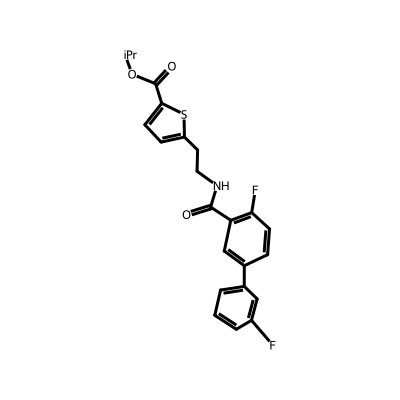 CC(C)OC(=O)c1ccc(CCNC(=O)c2cc(-c3cccc(F)c3)ccc2F)s1